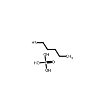 CCCCCS.O=P(O)(O)O